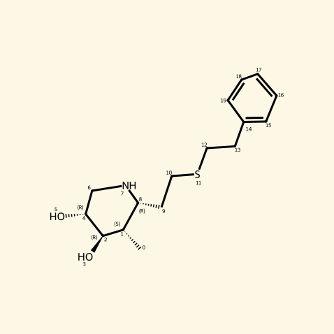 C[C@@H]1[C@@H](O)[C@H](O)CN[C@@H]1CCSCCc1ccccc1